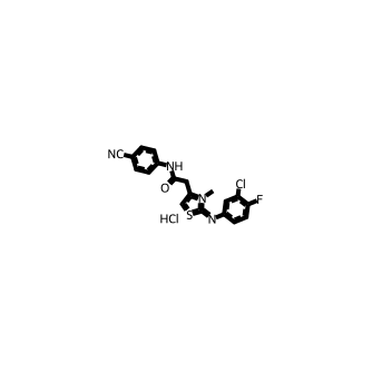 Cl.Cn1c(CC(=O)Nc2ccc(C#N)cc2)cs/c1=N/c1ccc(F)c(Cl)c1